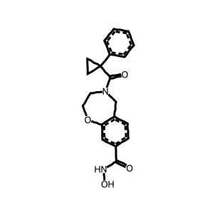 O=C(NO)c1ccc2c(c1)OCCN(C(=O)C1(c3ccccc3)CC1)C2